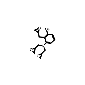 Oc1cccc(N(CC2CO2)CC2CO2)c1CC1CO1